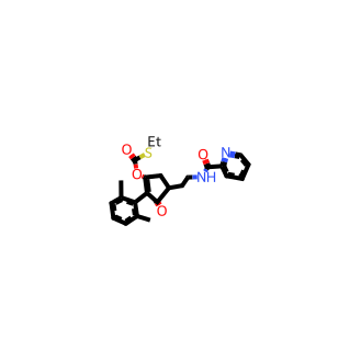 CCSC(=O)OC1=C(c2c(C)cccc2C)C(=O)C(CCNC(=O)c2ccccn2)C1